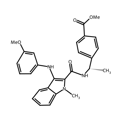 COC(=O)c1ccc([C@H](C)NC(=O)c2c(Nc3cccc(OC)c3)c3ccccc3n2C)cc1